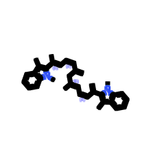 C=C(/C=C\C=C(/C)c1c(C)c2ccccc2n1C)C/C(C)=C/C=C\C(=C)c1c(C)c2ccccc2n1C